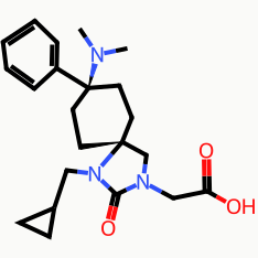 CN(C)[C@]1(c2ccccc2)CC[C@@]2(CC1)CN(CC(=O)O)C(=O)N2CC1CC1